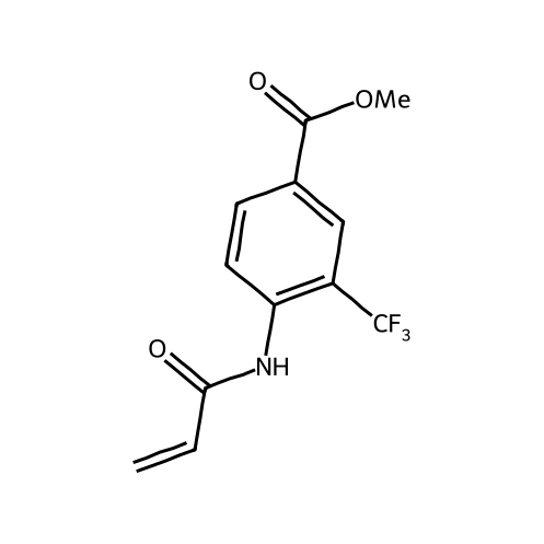 C=CC(=O)Nc1ccc(C(=O)OC)cc1C(F)(F)F